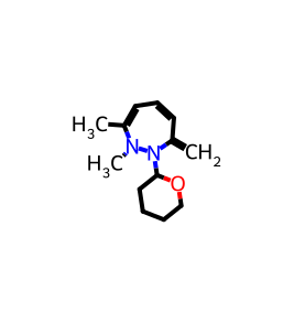 C=C1C=CC=C(C)N(C)N1C1CCCCO1